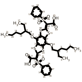 CCCCC(CC)COc1c2c(c(OCC(CC)CCCC)c3c1SC(=C(C(=O)O)S(=O)(=O)c1ccccc1)S3)SC(=C(C(=O)O)S(=O)(=O)c1ccccc1)S2